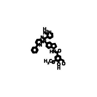 COc1cc(C(=O)N[C@H]2CCc3cc(-n4c(-c5cccnc5N)nc5ccc(-c6ccccc6)nc54)ccc32)cc(C=O)c1O